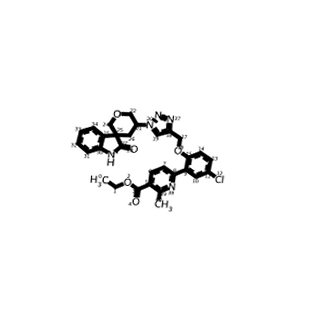 CCOC(=O)c1ccc(-c2cc(Cl)ccc2OCc2cn(C3COCC4(C3)C(=O)Nc3ccccc34)nn2)nc1C